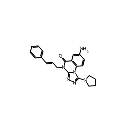 Nc1ccc2c(c1)c(=O)n(C/C=C/c1ccccc1)c1nnc(N3CCCC3)n21